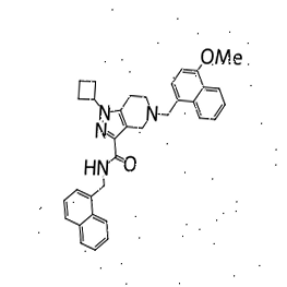 COc1ccc(CN2CCc3c(c(C(=O)NCc4cccc5ccccc45)nn3C3CCC3)C2)c2ccccc12